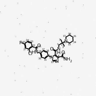 CC(C)(CNC(=O)c1c(C(N)=O)ncn1-c1ccc(NC(=O)c2ccc(F)cc2Cl)cc1)N1CCCCC1